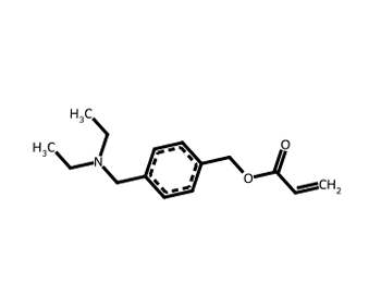 C=CC(=O)OCc1ccc(CN(CC)CC)cc1